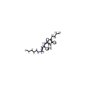 CCCCCC/C(C)=C/C(=O)/C=C1\NC(=O)C(CCCC)O1